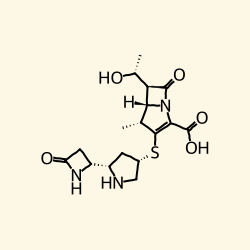 C[C@@H](O)[C@H]1C(=O)N2C(C(=O)O)=C(S[C@@H]3CN[C@H](C4CC(=O)N4)C3)[C@H](C)[C@H]12